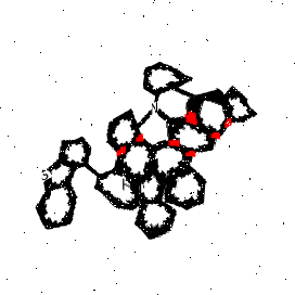 c1ccc(-c2ccccc2N(c2cccc(-c3ccccc3-c3cccc4sc5ccccc5c34)c2-c2cccc3c2[nH]c2ccccc23)c2c3c(cc(-c4ccccc4)c2-c2ccccc2)-c2ccccc2C3)cc1